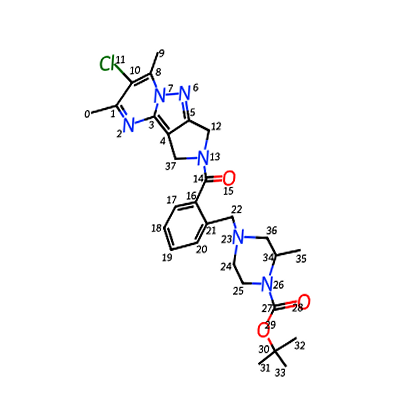 Cc1nc2c3c(nn2c(C)c1Cl)CN(C(=O)c1ccccc1CN1CCN(C(=O)OC(C)(C)C)C(C)C1)C3